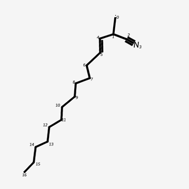 [CH2]C(C#N)C=CCCCCCCCCCCC